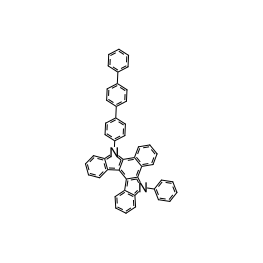 c1ccc(-c2ccc(-c3ccc(-n4c5ccccc5c5c6c7ccccc7n(-c7ccccc7)c6c6ccccc6c54)cc3)cc2)cc1